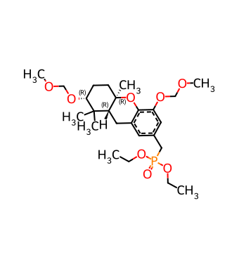 CCOP(=O)(Cc1cc2c(c(OCOC)c1)O[C@]1(C)CC[C@@H](OCOC)C(C)(C)[C@H]1C2)OCC